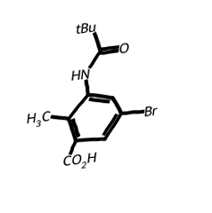 Cc1c(NC(=O)C(C)(C)C)cc(Br)cc1C(=O)O